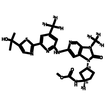 [2H]C([2H])([2H])c1cc(Nc2cc3c(cn2)n(C([2H])([2H])[2H])c(=O)n3[C@@H]2CC[C@@]([2H])(NC(=O)OC)C2)nc(-c2ncc(C(C)(C)O)s2)c1